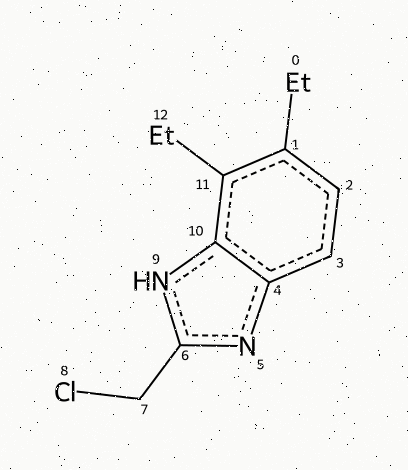 CCc1ccc2nc(CCl)[nH]c2c1CC